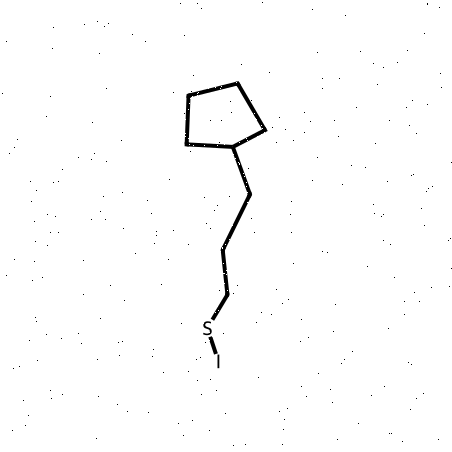 ISCCCC1CCCC1